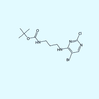 CC(C)(C)OC(=O)NCCCNc1nc(Cl)ncc1Br